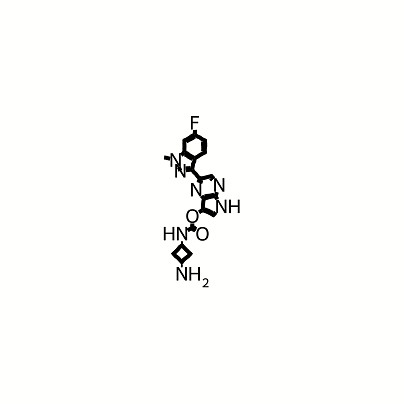 Cn1nc(-c2cnc3[nH]cc(OC(=O)N[C@H]4C[C@@H](N)C4)c3n2)c2ccc(F)cc21